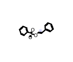 O=S(=O)(O/C=C/c1ccccc1)c1ccccc1